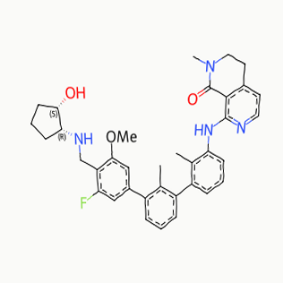 COc1cc(-c2cccc(-c3cccc(Nc4nccc5c4C(=O)N(C)CC5)c3C)c2C)cc(F)c1CN[C@@H]1CCC[C@@H]1O